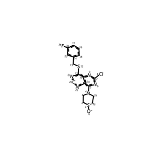 [O-][S+]1CCN(c2nc(Cl)nc3c(SCc4cccc(F)c4)ncnc23)CC1